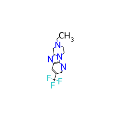 CCN1CCn2c(nc3cc(C(F)(F)F)cnc32)C1